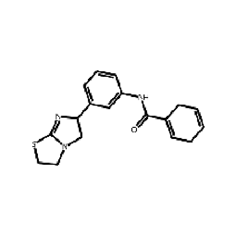 O=C(Nc1cccc(C2CN3CCSC3=N2)c1)C1=CCC=CC1